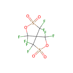 O=S1(=O)OC(F)(F)C2(C(F)(F)OS(=O)(=O)C2(F)F)C1(F)F